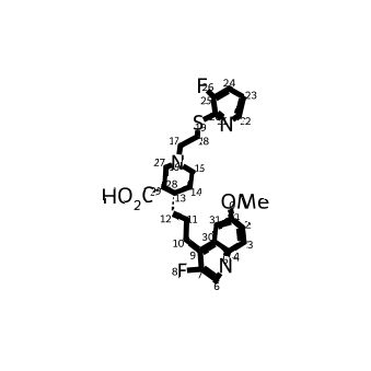 COc1ccc2ncc(F)c(CCC[C@H]3CCN(CCSc4ncccc4F)C[C@H]3C(=O)O)c2c1